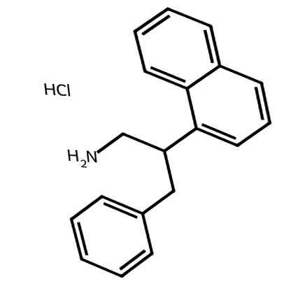 Cl.NCC(Cc1ccccc1)c1cccc2ccccc12